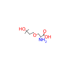 CC(C)(O)CCOCC(N)C(=O)O